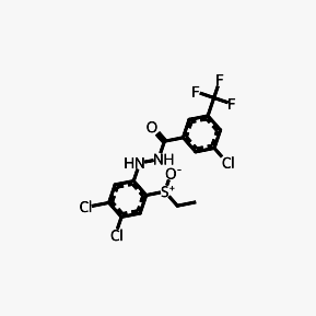 CC[S+]([O-])c1cc(Cl)c(Cl)cc1NNC(=O)c1cc(Cl)cc(C(F)(F)F)c1